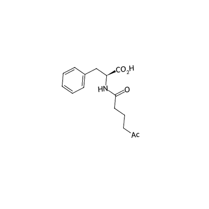 CC(=O)CCCC(=O)N[C@@H](Cc1ccccc1)C(=O)O